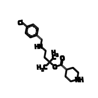 CC(C)(CCNCc1ccc(Cl)cc1)OC(=O)C1CCNCC1